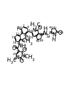 COc1nc(-c2ccc(F)c(-c3cccc(NC(=O)c4cn(C)c(=O)n(C)c4=O)c3C)c2Cl)cc2c1[C@@H](NC[C@@H]1CCC(=O)N1)CC2